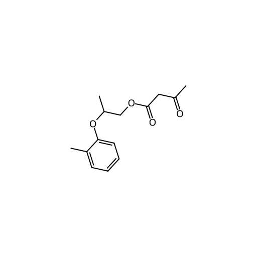 CC(=O)CC(=O)OCC(C)Oc1ccccc1C